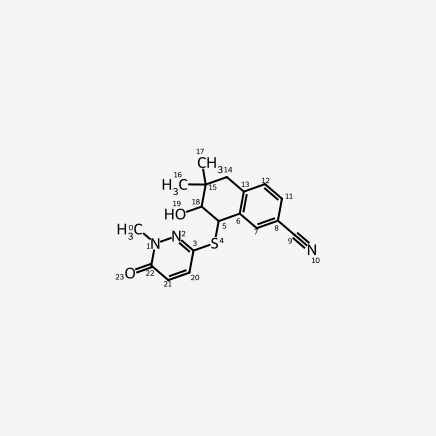 Cn1nc(SC2c3cc(C#N)ccc3CC(C)(C)C2O)ccc1=O